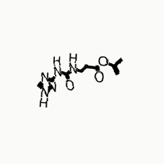 C=C(C)OC(=O)CCNC(=O)Nc1nc[nH]n1